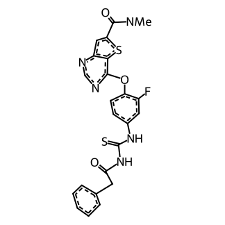 CNC(=O)c1cc2ncnc(Oc3ccc(NC(=S)NC(=O)Cc4ccccc4)cc3F)c2s1